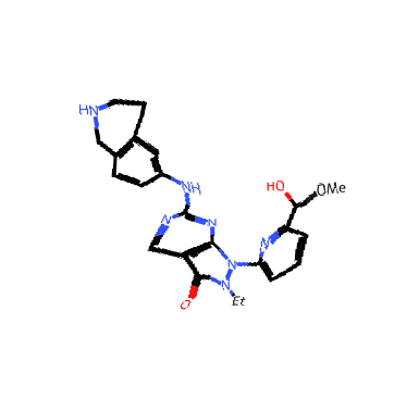 CCn1c(=O)c2cnc(Nc3ccc4c(c3)CCNC4)nc2n1-c1cccc(C(O)OC)n1